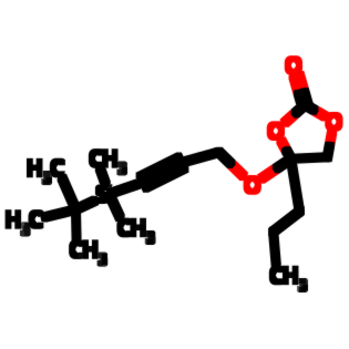 CCCC1(OCC#C[Si](C)(C)C(C)(C)C)COC(=O)O1